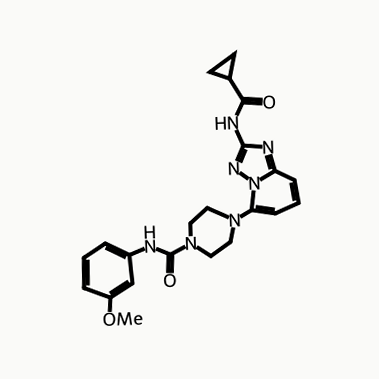 COc1cccc(NC(=O)N2CCN(c3cccc4nc(NC(=O)C5CC5)nn34)CC2)c1